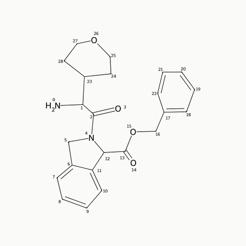 NC(C(=O)N1Cc2ccccc2C1C(=O)OCc1ccccc1)C1CCOCC1